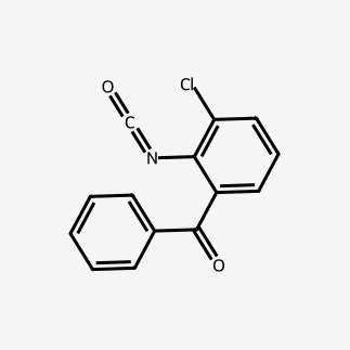 O=C=Nc1c(Cl)cccc1C(=O)c1ccccc1